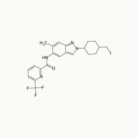 Cc1cc2nn(C3CCC(CI)CC3)cc2cc1NC(=O)c1cccc(C(F)(F)F)n1